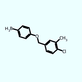 Bc1ccc(OCc2ccc(Cl)c(C)c2)cc1